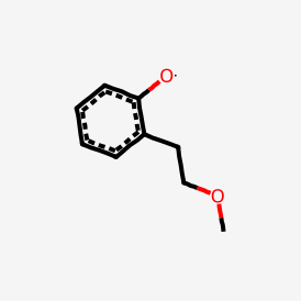 COCCc1ccccc1[O]